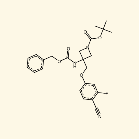 CC(C)(C)OC(=O)N1CC(COc2ccc(C#N)c(F)c2)(NC(=O)OCc2ccccc2)C1